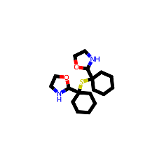 C1CCC(SC2(C3NCCO3)CCCCC2)(C2NCCO2)CC1